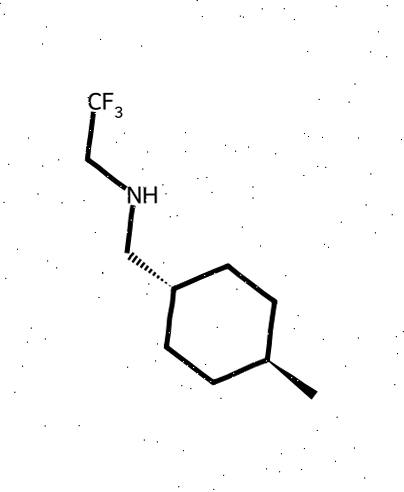 C[C@H]1CC[C@H](CNCC(F)(F)F)CC1